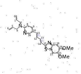 C=CCN(CC=C)c1ccc(/C=C/C=C/c2nc3cc(OC)c(OC)cc3s2)cn1